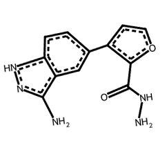 NNC(=O)c1occc1-c1ccc2[nH]nc(N)c2c1